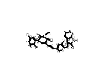 CCN1C(=O)C(CC=Cc2cnc3c(c2)C[C@@]2(C3)C(=O)Nc3ncccc32)CC(c2cc(F)cc(F)c2F)C1C